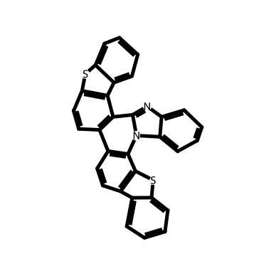 c1ccc2c(c1)nc1c3c(ccc4sc5ccccc5c43)c3ccc4c5ccccc5sc4c3n21